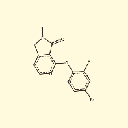 CN1Cc2ccnc(Oc3ccc(Br)cc3F)c2C1=O